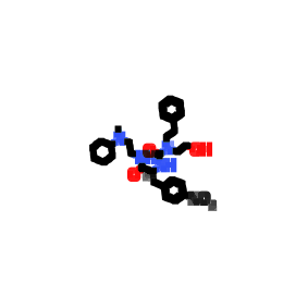 CN(CCNC(=O)[C@H](Cc1ccc([N+](=O)[O-])cc1)NC(=O)N(CCO)CCc1ccccc1)C1CCCCC1